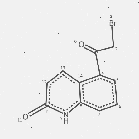 O=C(CBr)c1cccc2[nH]c(=O)ccc12